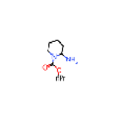 CCCOC(=O)N1CCCCC1N